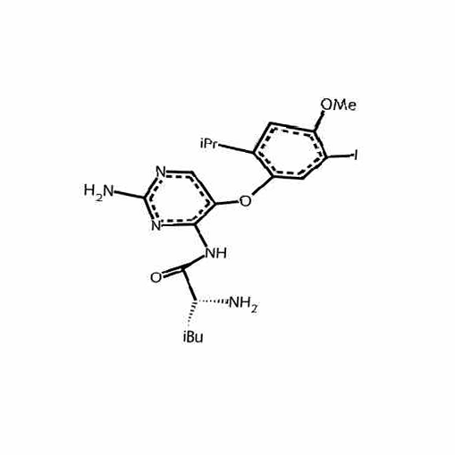 CC[C@@H](C)[C@@H](N)C(=O)Nc1nc(N)ncc1Oc1cc(I)c(OC)cc1C(C)C